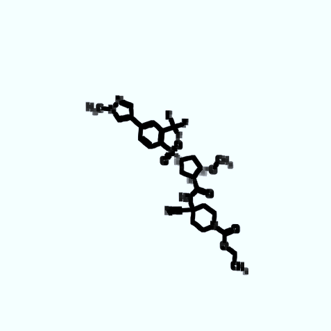 CCOC(=O)N1CCC(C#N)(NC(=O)[C@H]2C[C@H](S(=O)(=O)c3ccc(-c4cnn(C)c4)cc3C(F)(F)F)C[C@@H]2OC)CC1